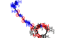 CO[C@H]1C[C@@H]2CC[C@@H](C)[C@@](O)(O2)C(=O)C(=O)N2CCCC[C@H]2C(=O)O[C@H]([C@H](C)C[C@@H]2CC[C@@H](OC(=O)NCc3cnc(N4CCN(C(=O)CCOCCN5CCN(C(=O)CCC(=O)NCCCCn6nc(-c7cnc8[nH]ccc8c7)c7c(N)ncnc76)CC5)CC4)nc3)[C@H](OC)C2)CC(=O)[C@H](C)/C=C(\C)[C@@H](O)[C@@H](OC)C(=O)[C@H](C)C[C@H](C)/C=C/C=C/C=C/1C